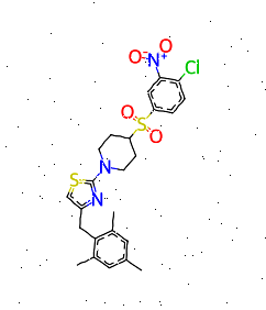 Cc1cc(C)c(Cc2csc(N3CCC(S(=O)(=O)c4ccc(Cl)c([N+](=O)[O-])c4)CC3)n2)c(C)c1